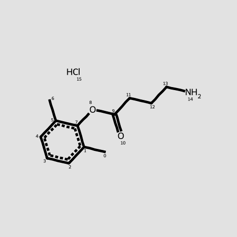 Cc1cccc(C)c1OC(=O)CCCN.Cl